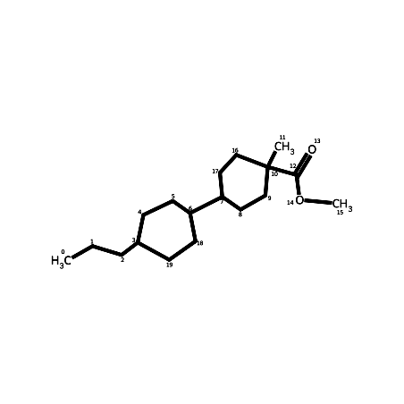 CCCC1CCC(C2CCC(C)(C(=O)OC)CC2)CC1